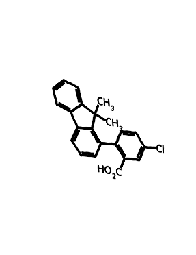 CC1(C)c2ccccc2-c2cccc(-c3ccc(Cl)cc3C(=O)O)c21